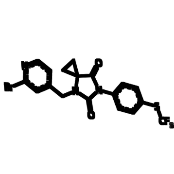 O=C1N(c2ccc(SC(F)(F)F)cc2)C(=O)C2(CC2)N1Cc1ccnc(Br)c1